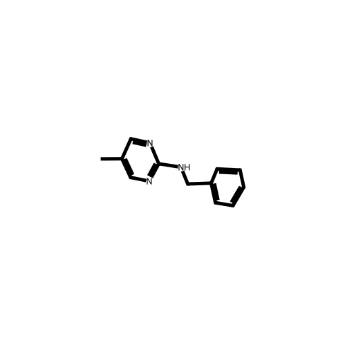 Cc1cnc(NCc2ccccc2)nc1